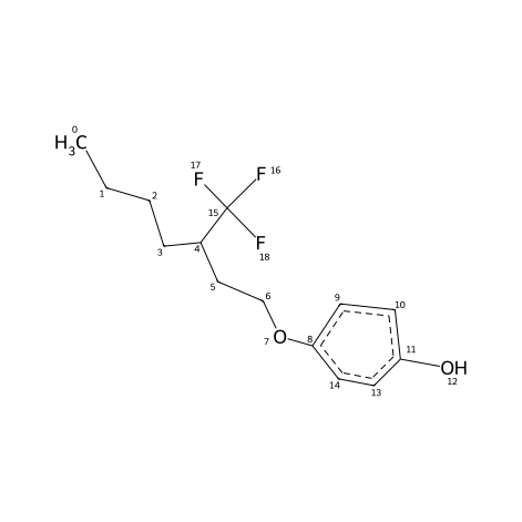 CCCCC(CCOc1ccc(O)cc1)C(F)(F)F